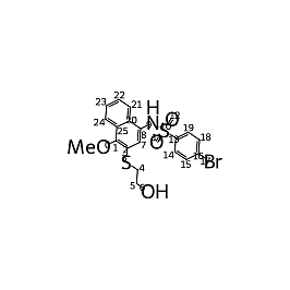 COc1c(SCCO)cc(NS(=O)(=O)c2ccc(Br)cc2)c2ccccc12